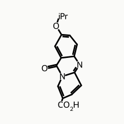 CC(C)Oc1ccc2nc3ccc(C(=O)O)cn3c(=O)c2c1